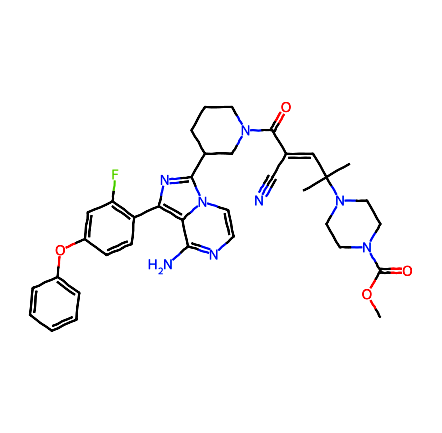 COC(=O)N1CCN(C(C)(C)C=C(C#N)C(=O)N2CCCC(c3nc(-c4ccc(Oc5ccccc5)cc4F)c4c(N)nccn34)C2)CC1